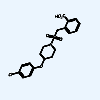 O=C(O)c1ccccc1CS(=O)(=O)N1CCC(Oc2ccc(Cl)cc2)CC1